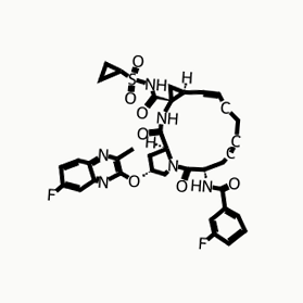 Cc1nc2ccc(F)cc2nc1O[C@@H]1C[C@H]2C(=O)N[C@]3(C(=O)NS(=O)(=O)C4CC4)C[C@H]3C=CCCCCC[C@H](NC(=O)c3cccc(F)c3)C(=O)N2C1